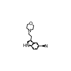 N#Cc1ccc2[nH]cc(CCN3CCOCC3)c2c1